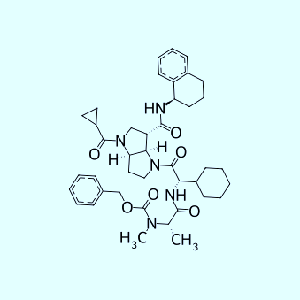 C[C@@H](C(=O)N[C@H](C(=O)N1CC[C@@H]2[C@H]1[C@@H](C(=O)N[C@@H]1CCCc3ccccc31)CN2C(=O)C1CC1)C1CCCCC1)N(C)C(=O)OCc1ccccc1